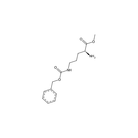 COC(=O)[C@@H](N)CCCNC(=O)OCc1ccccc1